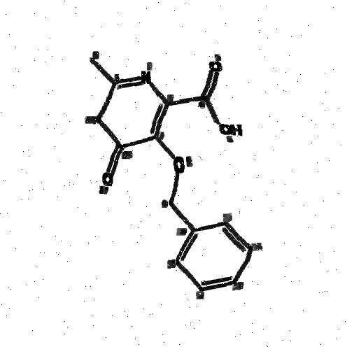 CC1=NC(C(=O)O)=C(OCc2ccccc2)C(=O)C1